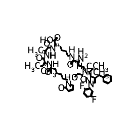 CC(C)[C@H](NC(=O)CCCCCN1CC=CC1=O)C(=O)N[C@@H](C)C(=O)N[C@@H](CCCCNC(=O)[C@@H](N)CCN(C(=O)CO)[C@@H](c1nn(-c2cc(F)ccc2F)cc1Cc1ccccc1)C(C)(C)C)C(=O)O